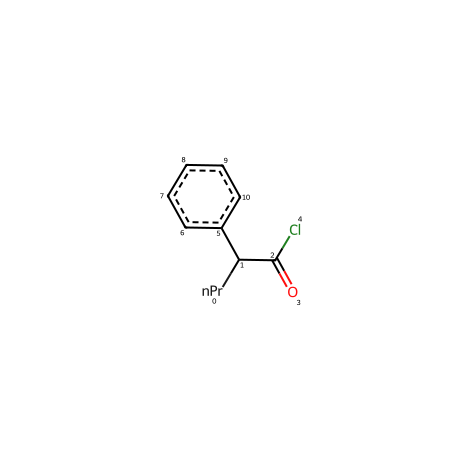 CCCC(C(=O)Cl)c1ccccc1